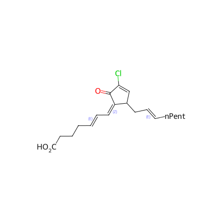 CCCCC/C=C/CC1C=C(Cl)C(=O)/C1=C\C=C\CCCC(=O)O